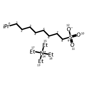 CC(C)CCCCCCCCS(=O)(=O)[O-].CC[N+](CC)(CC)CC